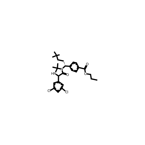 CCCOC(=O)c1ccc([C@@H](CCC(C)(C)C)N2C(=O)C(c3cc(Cl)cc(Cl)c3)NC2(C)C)cc1